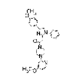 COc1ccc(-c2cn(-c3ccccc3)c(CC(=O)N3CCN(c4cc(OC)ccn4)CC3)n2)cc1